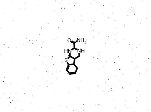 NC(=O)C1NCC2C(N1)SC1=CC=CCC12